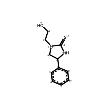 OCCN1CC(c2ccccc2)NC1=S